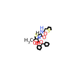 CC(O)C1=CS[C@H]2C(NC(=O)Cc3cccs3)C(=O)N2C1C(=O)OC(c1ccccc1)c1ccccc1